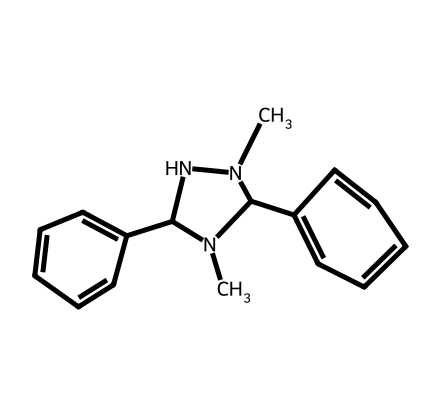 CN1NC(c2ccccc2)N(C)C1c1ccccc1